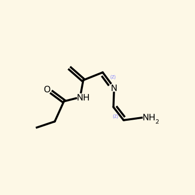 C=C(/C=N\C=C/N)NC(=O)CC